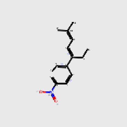 C=C(\C=C/C(=C\C)C(=C/C=C(C)C)/CC)[N+](=O)[O-]